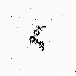 CCOC(=O)N1CCN(c2ccnc3[nH]c(-c4ncc(CC)s4)cc23)CC1